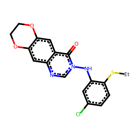 CCSc1ccc(Cl)cc1Nn1cnc2cc3c(cc2c1=O)OCCO3